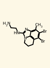 Cc1c(Br)c(Br)c2c3c1nc(NCCN)n3CCC2